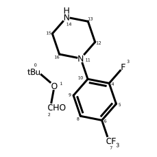 CC(C)(C)OC=O.Fc1cc(C(F)(F)F)ccc1N1CCNCC1